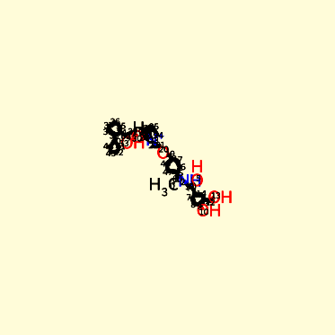 C[C@@H](NC[C@H](O)c1ccc(O)c(CO)c1)c1ccc(COCC[N+]23CCC(CC2)[C@@H](OC[C@H](O)c2ccccc2C2CCCC2)C3)cc1